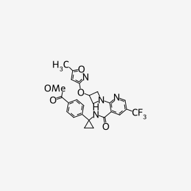 COC(=O)c1ccc(C2(NC(=O)c3cc(C(F)(F)F)cnc3N3CC(Oc4cc(C)on4)C3)CC2)cc1